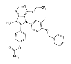 Cc1c(-c2ccc(OC(N)=O)cc2)n(-c2ccc(OCc3ccccc3)c(F)c2)c2c(OCC(F)(F)F)ncnc12